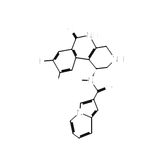 CN(C(=O)c1cc2ccccn2c1)[C@@H]1CNCc2[nH]c(=O)c3cc(F)c(F)cc3c21